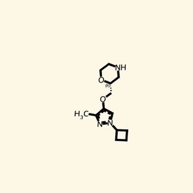 Cc1nn(C2CCC2)cc1OC[C@H]1CNCCO1